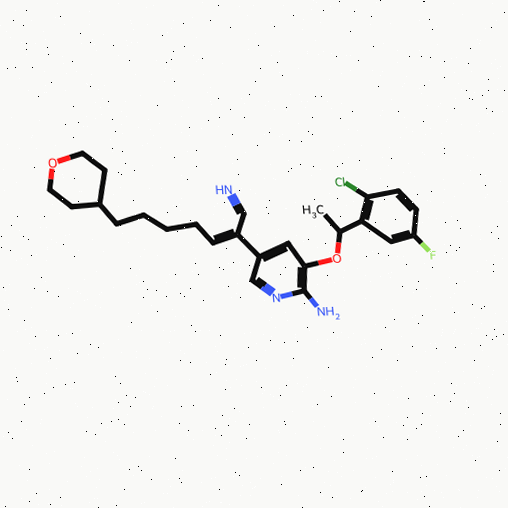 CC(Oc1cc(/C(C=N)=C/CCCCC2CCOCC2)cnc1N)c1cc(F)ccc1Cl